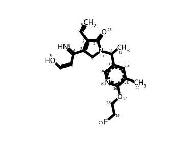 C=CC1=C(C(=N)/C=C\O)CN(C(C)c2cnc(OCCF)c(C)c2)C1=O